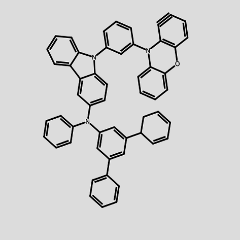 c1ccc2c(c#1)N(c1cccc(-n3c4ccccc4c4cc(N(c5ccccc5)c5cc(-c6ccccc6)cc(C6C=CC=CC6)c5)ccc43)c1)c1ccccc1O2